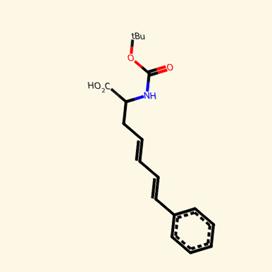 CC(C)(C)OC(=O)NC(CC=CC=Cc1ccccc1)C(=O)O